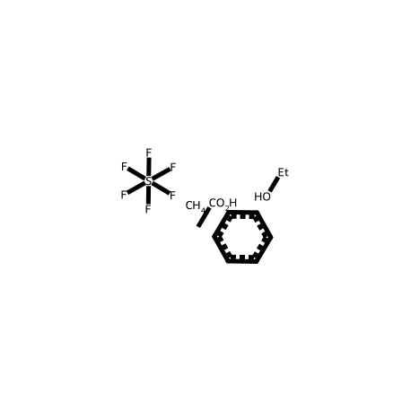 C.CC(=O)O.CCO.FS(F)(F)(F)(F)F.c1ccccc1